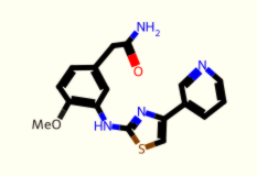 COc1ccc(CC(N)=O)cc1Nc1nc(-c2cccnc2)cs1